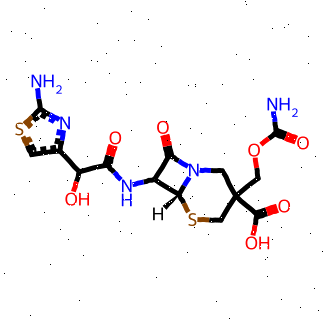 NC(=O)OCC1(C(=O)O)CS[C@@H]2C(NC(=O)C(O)c3csc(N)n3)C(=O)N2C1